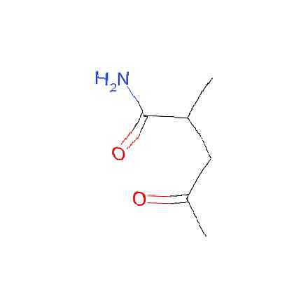 CC(=O)CC(C)C(N)=O